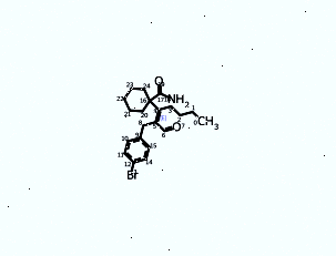 CCCC/C(=C(\C=O)Cc1ccc(Br)cc1)C1(C(N)=O)CCCCC1